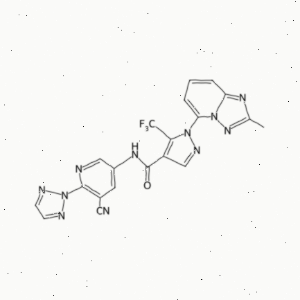 Cc1nc2cccc(-n3ncc(C(=O)Nc4cnc(-n5nccn5)c(C#N)c4)c3C(F)(F)F)n2n1